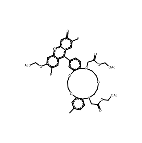 CC(=O)OCOC(=O)CN1CCOCCN(CC(=O)OCOC(C)=O)c2ccc(-c3c4cc(F)c(=O)cc-4oc4cc(OCOC(C)=O)c(F)cc34)cc2OCCOc2cc(C)ccc21